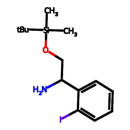 CC(C)(C)[Si](C)(C)OCC(N)c1ccccc1I